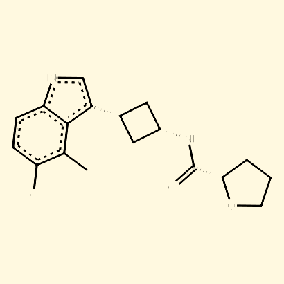 Cc1c(Cl)ccc2[nH]cc([C@H]3C[C@@H](NC(=O)[C@@H]4CCCO4)C3)c12